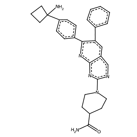 NC(=O)C1CCN(c2ncc3cc(-c4ccccc4)c(-c4ccc(C5(N)CCC5)cc4)nc3n2)CC1